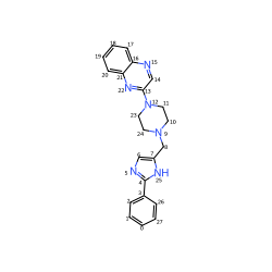 c1ccc(-c2ncc(CN3CCN(c4cnc5ccccc5n4)CC3)[nH]2)cc1